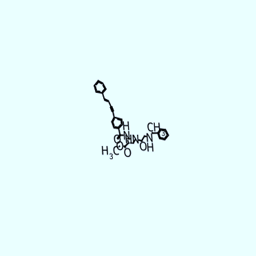 COC(=O)[C@H](CNC(=O)CN[C@@H](C)c1ccccc1)NC(=O)c1ccc(C#C/C=C/c2ccccc2)cc1